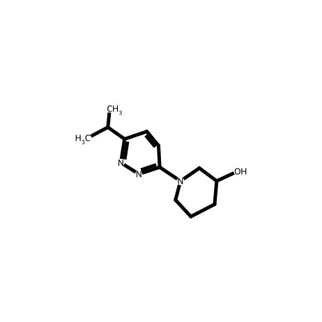 CC(C)c1ccc(N2CCCC(O)C2)nn1